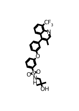 Cc1cnc2c(C(F)(F)F)cccc2c1-c1cccc(Oc2cccc(S(=O)(=O)NCC(C)(C)O)c2)c1